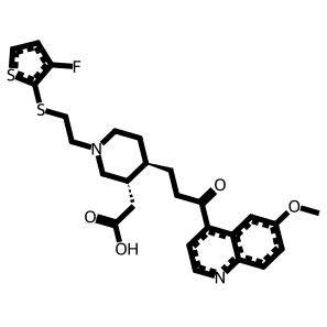 COc1ccc2nccc(C(=O)CC[C@@H]3CCN(CCSc4sccc4F)C[C@H]3CC(=O)O)c2c1